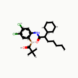 CCCCCC(C(=O)Nc1cc(Cl)c(Cl)cc1SC(=O)C(C)(C)C)C1CCCCC1